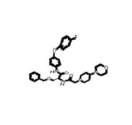 O=C(CN1CCC(N2CCOCC2)CC1)N[C@@H](COCc1ccccc1)C(=O)Nc1ccc(Oc2ccc(F)cc2)cc1